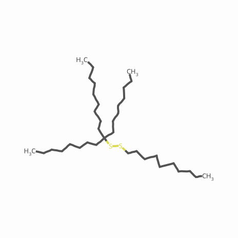 CCCCCCCCCCSSC(CCCCCCCC)(CCCCCCCC)CCCCCCCCC